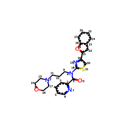 O=C(c1ccccn1)N(CCCN1CCOCC1)c1nc(-c2cc3ccccc3o2)cs1